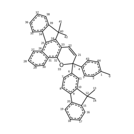 Cc1ccc(C2(c3ccc4c(c3)C(C)(C)c3ccccc3-4)C=Cc3c4c(c5ccccc5c3O2)-c2ccccc2C4(C)C)cc1